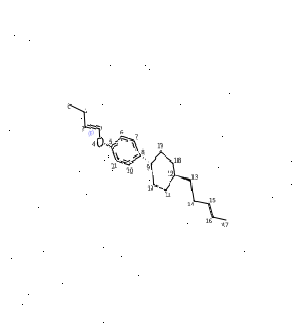 CC/C=C/Oc1ccc([C@H]2CC[C@H](CCCCC)CC2)cc1